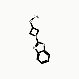 COC1CN(c2nc3ccccc3s2)C1